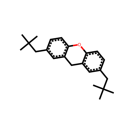 CC(C)(C)Cc1ccc2c(c1)Cc1cc(CC(C)(C)C)ccc1O2